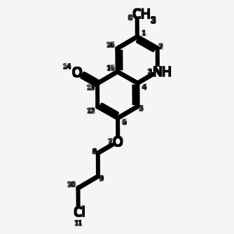 Cc1c[nH]c2cc(OCCCCl)cc(=O)c-2c1